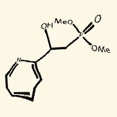 COP(=O)(CC(O)c1ccccn1)OC